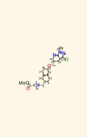 COC(=O)C1CN(Cc2ccc3cc(OCc4cnc5c(c4)c(Cl)nn5C(C)C)ccc3c2)C1